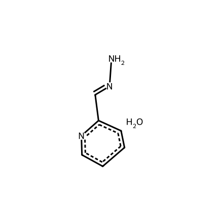 N/N=C/c1ccccn1.O